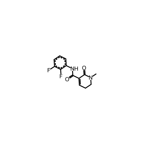 CN1CCC=C(C(=O)Nc2cccc(F)c2F)C1=O